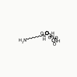 NCCCCCCCCCCC(=O)Nc1cccc(CC(=O)NC2CCC(=O)NC2=O)c1